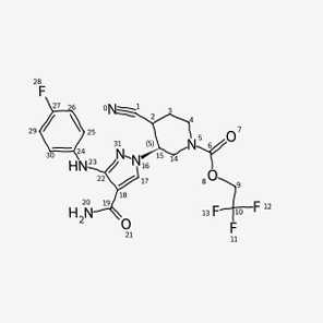 N#CC1CCN(C(=O)OCC(F)(F)F)C[C@H]1n1cc(C(N)=O)c(Nc2ccc(F)cc2)n1